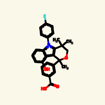 CC1(C)COC(C)(c2cccc(C(=O)O)c2)c2c1n(-c1ccc(F)cc1)c1cccc(O)c21